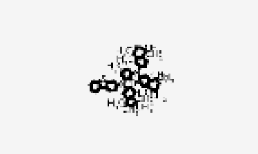 Cc1cc2c3c(c1)N(c1ccc4c(c1)sc1ccccc14)c1cc4c(cc1B3c1cc3c(cc1N2c1ccc2c(c1)C(C)(C)CCC2(C)C)C(C)(C)CCC3(C)C)C(C)(C)CC4(C)C